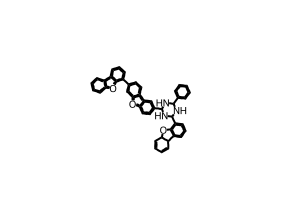 C1=CC2Oc3c(C4NC(c5ccccc5)NC(c5ccc6oc7cc(-c8cccc9c8oc8ccccc89)ccc7c6c5)N4)cccc3C2C=C1